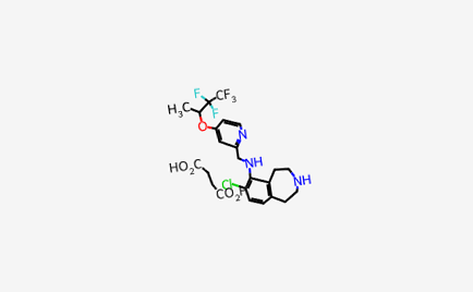 CC(Oc1ccnc(CNc2c(Cl)ccc3c2CCNCC3)c1)C(F)(F)C(F)(F)F.O=C(O)CCC(=O)O